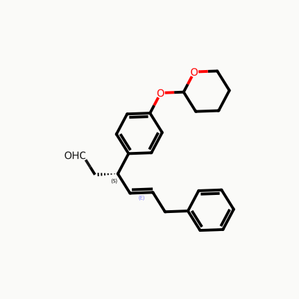 O=CC[C@@H](/C=C/Cc1ccccc1)c1ccc(OC2CCCCO2)cc1